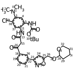 CN(C)c1cc(NC(=O)OC(C)(C)C)c(NC(=O)CC(=O)c2cccc(-c3cc(COC4CCCCO4)on3)c2)cc1Cl